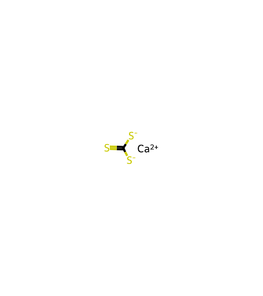 S=C([S-])[S-].[Ca+2]